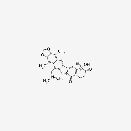 CC[C@@]1(O)C(=O)CCc2c1cc1n(c2=O)Cc2c-1nc1c(C)c3c(c(C)c1c2CN(C)C)OCO3